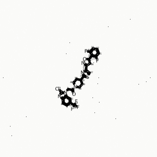 O=C(Cn1c(Cl)nc2ccc(C(F)(F)F)cc21)N1CCC(c2nc(C3=NOC(c4c(F)cccc4F)C3)cs2)CC1